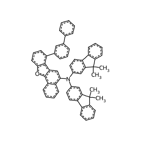 CC1(C)c2ccccc2-c2ccc(N(c3ccc4c(c3)C(C)(C)c3ccccc3-4)c3cc4c(oc5cccc(-c6cccc(-c7ccccc7)c6)c54)c4ccccc34)cc21